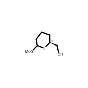 COC1CCC[C@@H](CO)O1